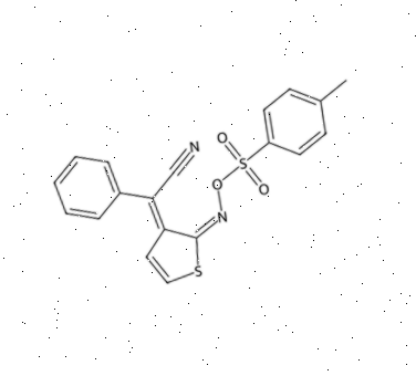 Cc1ccc(S(=O)(=O)ON=C2SC=CC2=C(C#N)c2ccccc2)cc1